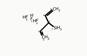 C=CC([SiH3])C=C.F.F.F